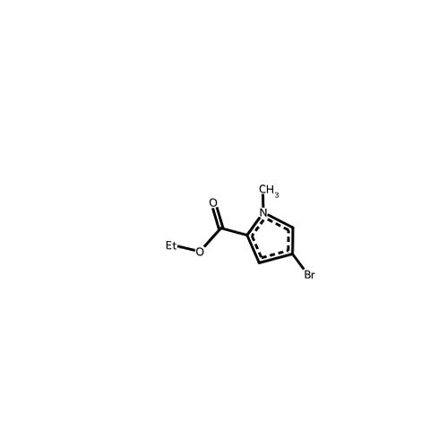 CCOC(=O)c1cc(Br)cn1C